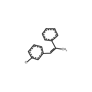 C/C(=C/c1cccc(Cl)c1)c1ccccc1